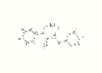 NCC(C(=O)OCc1cccnc1)c1ccccc1